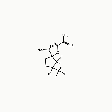 C=C(C)C(=O)OC1(C(C)C)COC(O)(C(F)(F)F)C1(F)F